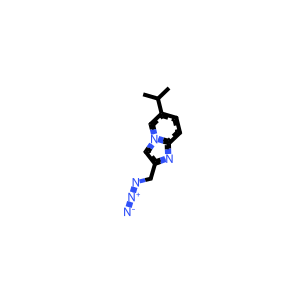 CC(C)c1ccc2nc(CN=[N+]=[N-])cn2c1